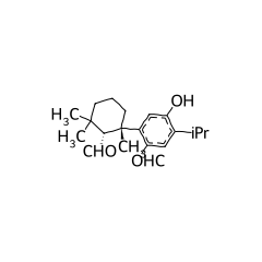 CC(C)c1cc(C=O)c([C@@]2(C)CCCC(C)(C)[C@H]2C=O)cc1O